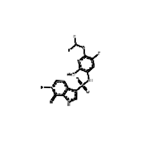 CCn1ccc2c(S(=O)(=O)Nc3cc(F)c(OC(F)F)nc3OC)c[nH]c2c1=O